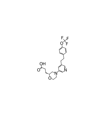 O=C(O)CC[C@H]1CN(c2cncc(CCc3ccc(OC(F)(F)F)cc3)c2)CCO1